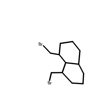 BrCC1CCCC2CCCC(CBr)C12